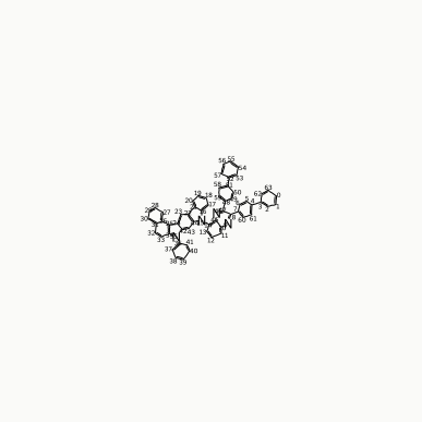 c1ccc(-c2ccc(-c3nc4cccc(-n5c6ccccc6c6cc7c8c9ccccc9ccc8n(-c8ccccc8)c7cc65)c4nc3-c3ccc(-c4ccccc4)cc3)cc2)cc1